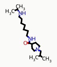 CC(C)CN1CCC(C(=O)NCCCCCCCNC(C)C)CC1